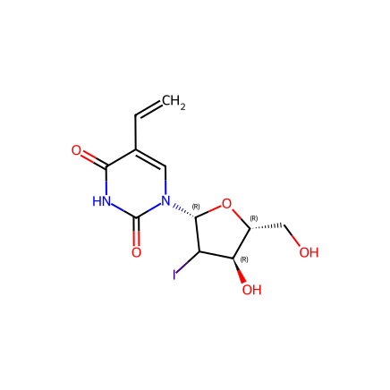 C=Cc1cn([C@@H]2O[C@H](CO)[C@@H](O)C2I)c(=O)[nH]c1=O